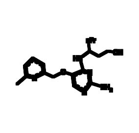 CCCC(CCO)Nc1nc(N)ncc1OCc1cccc(C)n1